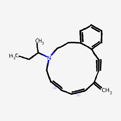 C=C1C#Cc2ccccc2CCN(C(C)CC)C/C=C\C=C/1